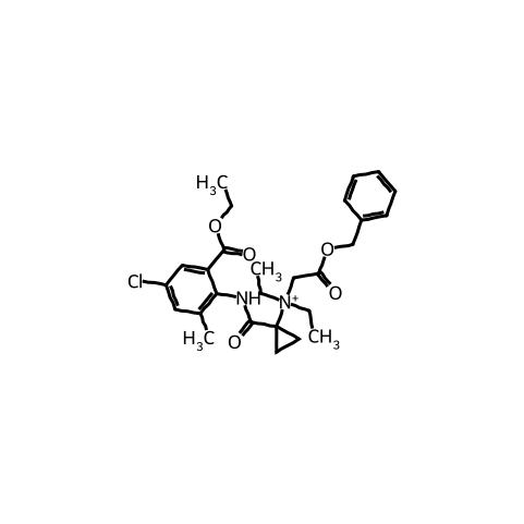 CCOC(=O)c1cc(Cl)cc(C)c1NC(=O)C1([N+](CC)(CC)CC(=O)OCc2ccccc2)CC1